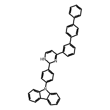 C1=CC(c2cccc(-c3ccc(-c4ccccc4)cc3)c2)=NC(c2ccc(-n3c4ccccc4c4ccccc43)cc2)N1